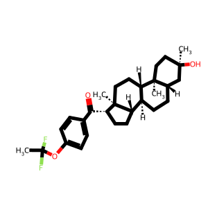 CC(F)(F)Oc1ccc(C(=O)[C@H]2CC[C@H]3[C@@H]4CC[C@H]5C[C@](C)(O)CC[C@]5(C)[C@H]4CC[C@]23C)cc1